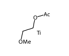 COCCOC(C)=O.[Ti]